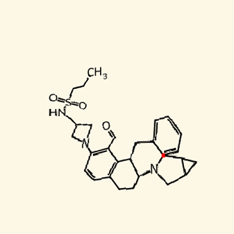 CCCS(=O)(=O)NC1CN(c2ccc3c(c2C=O)[C@@H](Cc2ccccc2)[C@@H](N2CC4CC4C2)CC3)C1